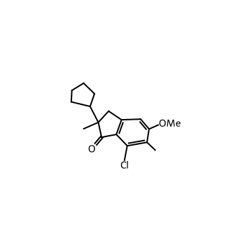 COc1cc2c(c(Cl)c1C)C(=O)C(C)(C1CCCC1)C2